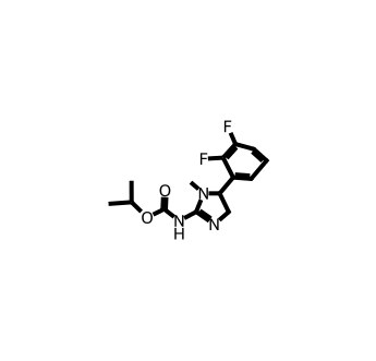 CC(C)OC(=O)NC1=NCC(c2cccc(F)c2F)N1C